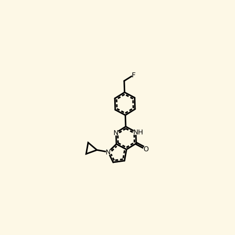 O=c1[nH]c(-c2ccc(CF)cc2)nc2c1ccn2C1CC1